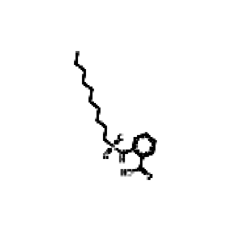 CCCCCCCCCCS(=O)(=O)Nc1ccccc1C(=O)O